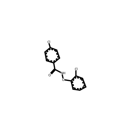 O=C(NOc1ccccc1Cl)c1ccc(Cl)cc1